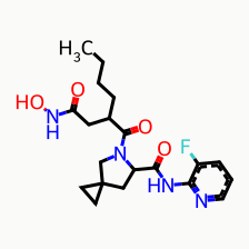 CCCCC(CC(=O)NO)C(=O)N1CC2(CC2)CC1C(=O)Nc1ncccc1F